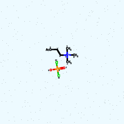 CC(=O)OCC[N+](C)(C)C.O=P([O-])(Cl)Cl